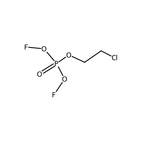 O=P(OF)(OF)OCCCl